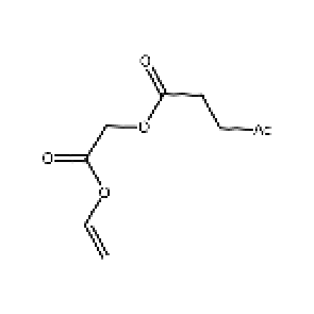 C=COC(=O)COC(=O)CCC(C)=O